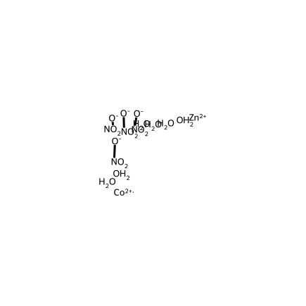 O.O.O.O.O.O.O=[N+]([O-])[O-].O=[N+]([O-])[O-].O=[N+]([O-])[O-].O=[N+]([O-])[O-].[Co+2].[Zn+2]